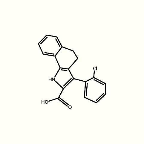 O=C(O)c1[nH]c2c(c1-c1ccccc1Cl)CCc1ccccc1-2